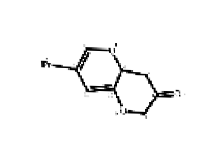 CC(C)C1=COC2CC(=O)COC2=C1